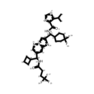 CC(C)c1ocnc1C(=O)N[C@H](c1cn2ncc(C(NC(=O)CCC(F)(F)F)C3CCC3)cc2n1)C1CCC(F)(F)CC1